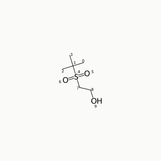 CC(C)(C)S(=O)(=O)CCO